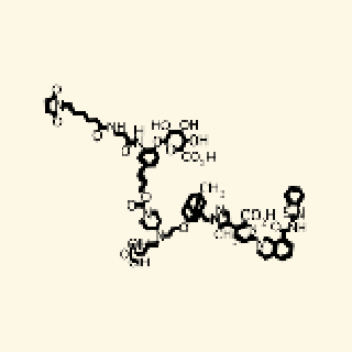 Cc1c(-c2ccc(N3CCc4cccc(C(=O)Nc5nc6ccccc6s5)c4C3)nc2C(=O)O)cnn1CC12CC3CC(C)(C1)CC(OCCN(CCCP(=O)(O)O)C1CCN(C(=O)OC/C=C/c4ccc(O[C@@H]5O[C@H](C(=O)O)[C@@H](O)[C@H](O)[C@H]5O)c(NC(=O)CCNC(=O)CCCCCN5C(=O)C=CC5=O)c4)CC1)(C3)C2